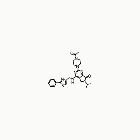 CC(=O)N1CCN(c2nc(NCc3csc(-c4ccccc4)n3)c3c(n2)C(=O)N(C(C)C)C3)CC1